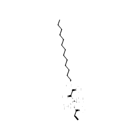 C=CC(=O)NNC(=O)C(=O)OCCCCCCCCCCCCC